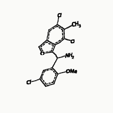 COc1ccc(Cl)cc1C(N)c1occ2cc(Cl)c(C)c(Cl)c12